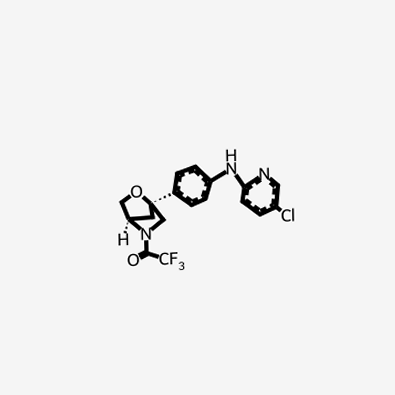 O=C(N1C[C@@]2(c3ccc(Nc4ccc(Cl)cn4)cc3)C[C@@H]1CO2)C(F)(F)F